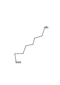 CCCCCCCC[CH2][SnH]